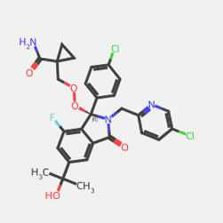 CC(C)(O)c1cc(F)c2c(c1)C(=O)N(Cc1ccc(Cl)cn1)[C@@]2(OOCC1(C(N)=O)CC1)c1ccc(Cl)cc1